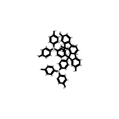 Cc1ccc(N(c2ccc(C)cc2)c2ccc(C3(c4ccc(N(c5ccc(C)cc5)c5ccc(C)cc5)cc4)c4cc(C)ccc4-c4ccc5c(c43)C(C)(C)c3cc(C)ccc3-5)cc2)cc1